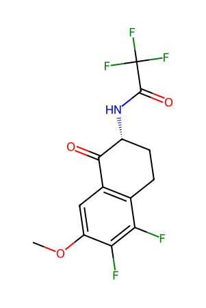 COc1cc2c(c(F)c1F)CC[C@@H](NC(=O)C(F)(F)F)C2=O